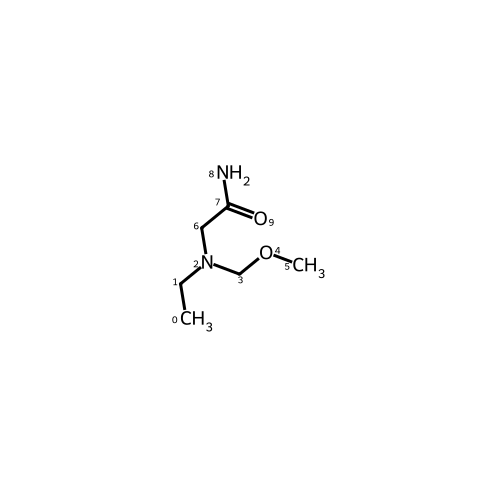 CCN(COC)CC(N)=O